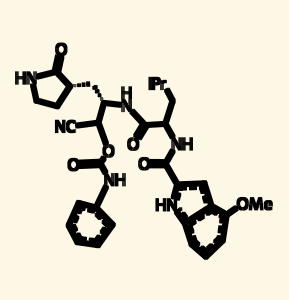 COc1cccc2[nH]c(C(=O)NC(CC(C)C)C(=O)N[C@@H](C[C@@H]3CCNC3=O)C(C#N)OC(=O)Nc3ccccc3)cc12